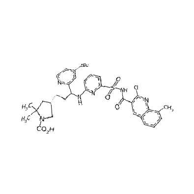 Cc1cccc2cc(C(=O)NS(=O)(=O)c3cccc(NC(CC[C@@H]4CN(C(=O)O)C(C)(C)C4)c4cc(C(C)(C)C)ccn4)n3)c(Cl)nc12